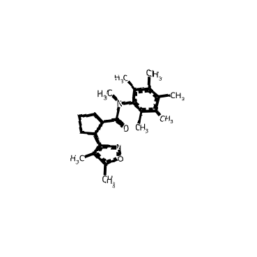 Cc1onc(C2CCCC2C(=O)N(C)c2c(C)c(C)c(C)c(C)c2C)c1C